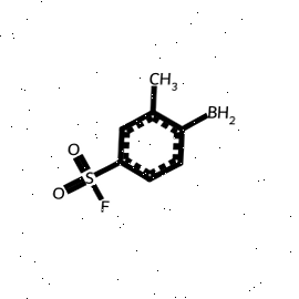 Bc1ccc(S(=O)(=O)F)cc1C